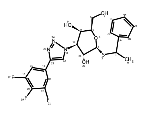 CC(S[C@@H]1O[C@H](CO)[C@H](O)[C@H](n2cc(-c3cc(F)c(F)c(F)c3)nn2)[C@H]1O)c1ccccc1